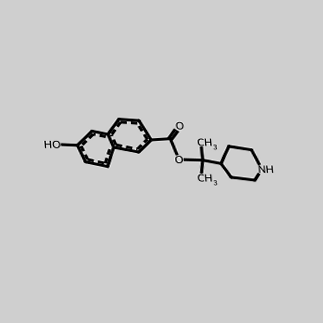 CC(C)(OC(=O)c1ccc2cc(O)ccc2c1)C1CCNCC1